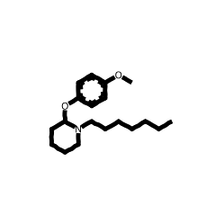 CCCCCCCN1CCCCC1Oc1ccc(OC)cc1